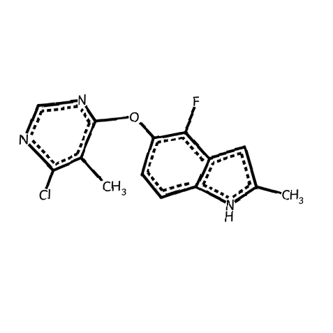 Cc1cc2c(F)c(Oc3ncnc(Cl)c3C)ccc2[nH]1